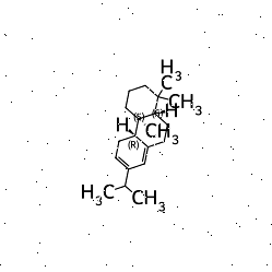 CC(C)C1=CC[C@H]2C(=C1)CC[C@H]1C(C)(C)CCC[C@]21C